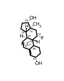 C[C@]12C[C@H](F)[C@H]3[C@@H](CCC4=C[C@@H](O)CC[C@@]43C)[C@@H]1CC[C@@H]2O